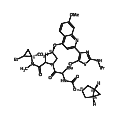 CCC1C[C@@]1(C(=O)O)N(C)C(=O)C1C[C@@H](Oc2cc(-c3nc(NC(C)C)sc3Cl)nc3cc(OC)ccc23)CN1C(=O)C(NC(=O)O[C@@H]1C[C@@H]2C[C@@H]2C1)C(C)(C)C